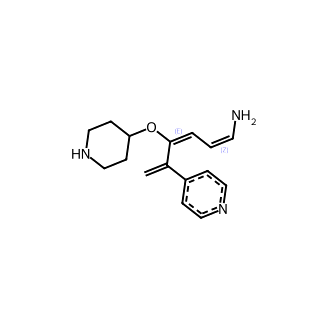 C=C(/C(=C\C=C/N)OC1CCNCC1)c1ccncc1